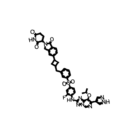 CC(C)Oc1c(-c2cn[nH]c2)ncn2nc(Nc3ccc(S(=O)(=O)c4cccc(CC5CC(c6ccc7c(c6)CN(C6CCC(=O)NC6=O)C7=O)C5)c4)cc3F)nc12